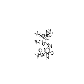 [2H]CC1OC(n2cnc3c(=O)[nH]c(NC(=O)C(C)C)nc32)C(OS(N)(=O)=O)C1O[Si](C)(C)C(C)(C)C